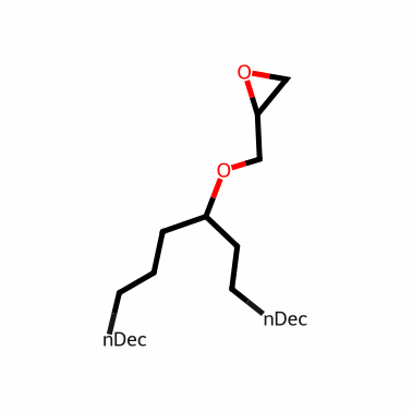 CCCCCCCCCCCCCC(CCCCCCCCCCCC)OCC1CO1